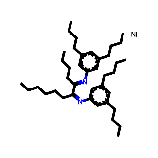 CCCCCCC(=Nc1cc(CCCC)cc(CCCC)c1)C(CCCC)=Nc1cc(CCCC)cc(CCCC)c1.[Ni]